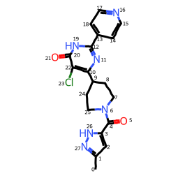 Cc1cc(C(=O)N2CCC(c3nc(-c4ccncc4)[nH]c(=O)c3Cl)CC2)[nH]n1